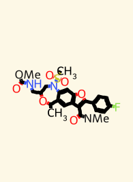 CNC(=O)c1c(-c2ccc(F)cc2)oc2cc3c(cc12)C(C)OC(CNC(=O)OC)CN3S(C)(=O)=O